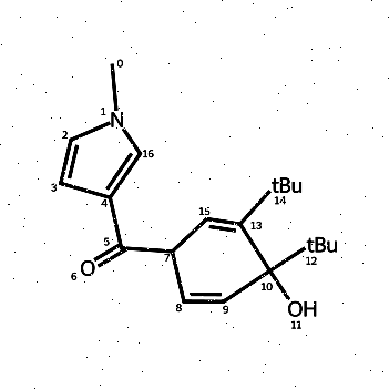 Cn1ccc(C(=O)C2C=CC(O)(C(C)(C)C)C(C(C)(C)C)=C2)c1